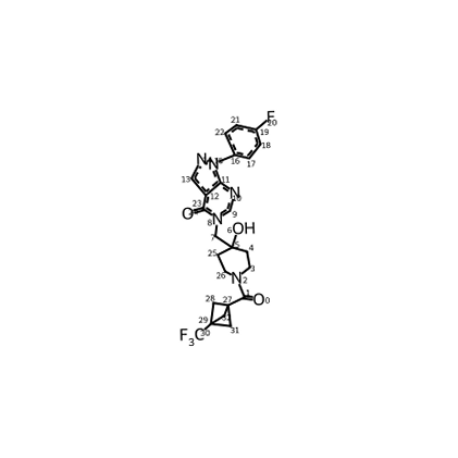 O=C(N1CCC(O)(Cn2cnc3c(cnn3-c3ccc(F)cc3)c2=O)CC1)C12CC(C(F)(F)F)(C1)C2